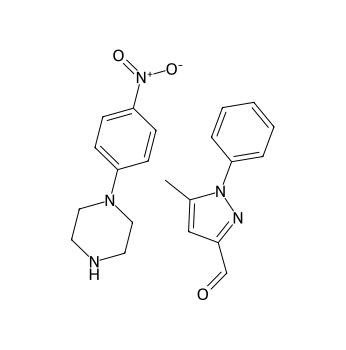 Cc1cc(C=O)nn1-c1ccccc1.O=[N+]([O-])c1ccc(N2CCNCC2)cc1